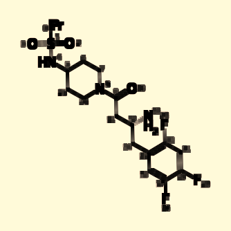 CC(C)S(=O)(=O)NC1CCN(C(=O)C[C@H](N)Cc2cc(F)c(F)cc2F)CC1